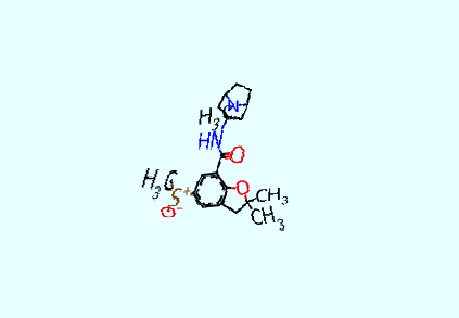 CN1C2CCC1CC(NC(=O)c1cc([S+](C)[O-])cc3c1OC(C)(C)C3)C2